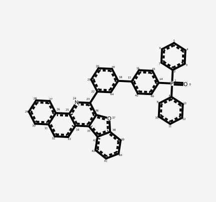 O=P(c1ccccc1)(c1ccccc1)c1ccc(-c2cccc(-c3nc4c5ccccc5ccc4c4c3oc3ccccc34)c2)cc1